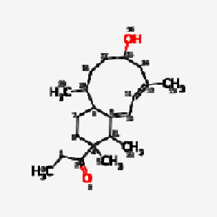 CCC(=O)C1(C)CCC2/C(=C\C=C(/C)CC(O)CCC2C)C1C